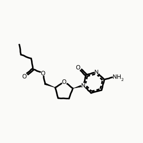 CCCC(=O)OC[C@@H]1CC[C@H](n2ccc(N)nc2=O)O1